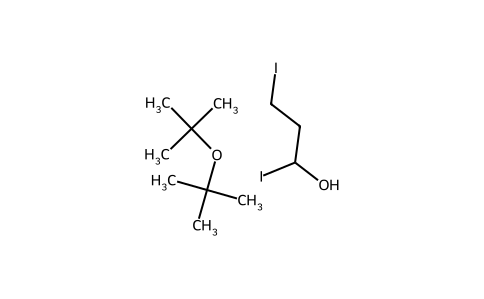 CC(C)(C)OC(C)(C)C.OC(I)CCI